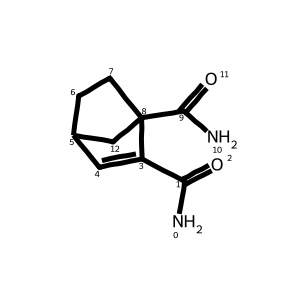 NC(=O)C1=CC2CCC1(C(N)=O)C2